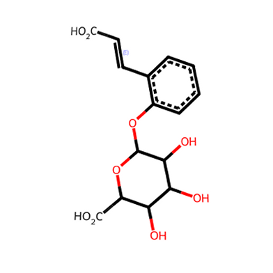 O=C(O)/C=C/c1ccccc1OC1OC(C(=O)O)C(O)C(O)C1O